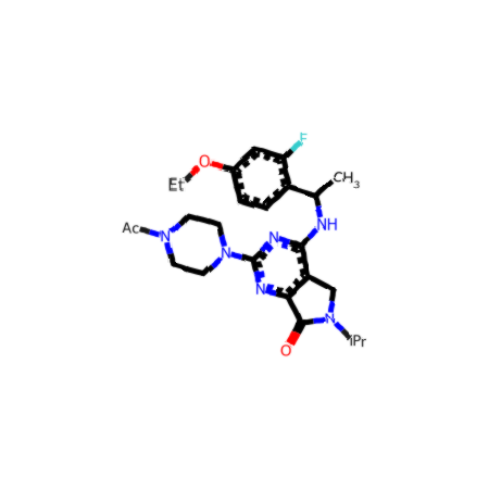 CCOc1ccc(C(C)Nc2nc(N3CCN(C(C)=O)CC3)nc3c2CN(C(C)C)C3=O)c(F)c1